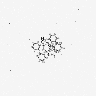 CC1(c2ccccc2)C[Si](C)(c2ccccc2)[SiH2][Si](c2ccccc2)(c2ccccc2)O1